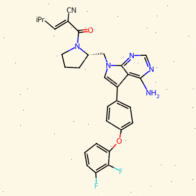 CC(C)C=C(C#N)C(=O)N1CCC[C@H]1Cn1cc(-c2ccc(Oc3cccc(F)c3F)cc2)c2c(N)ncnc21